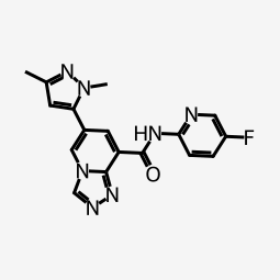 Cc1cc(-c2cc(C(=O)Nc3ccc(F)cn3)c3nncn3c2)n(C)n1